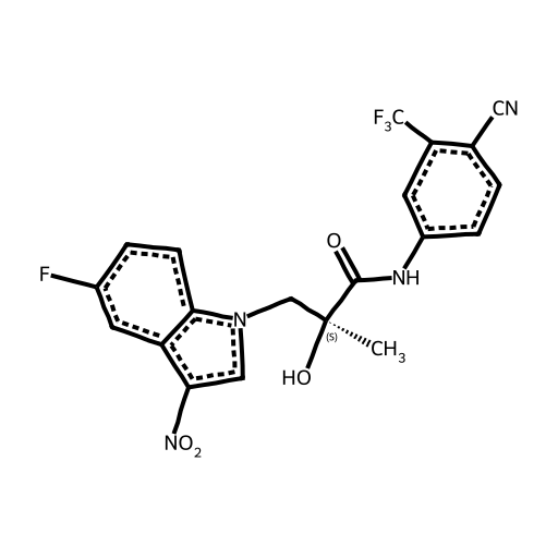 C[C@](O)(Cn1cc([N+](=O)[O-])c2cc(F)ccc21)C(=O)Nc1ccc(C#N)c(C(F)(F)F)c1